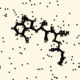 [N-]=[N+]=CC(=O)CCC(NC(=O)C(O)Cc1c[nH]c2cccc(Cl)c12)C(=O)O